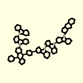 c1ccc(-c2c3ccccc3c(-c3ccc(-c4ccc5c(c4)c4ccccc4n5-c4cccc5c4c4ccccc4n5-c4ccc5c(c4)c4ccccc4n5-c4ccc5cc6ccccc6cc5c4)cc3)c3cc(-n4c5ccccc5c5c(-n6c7ccccc7c7ccccc76)cccc54)ccc23)cc1